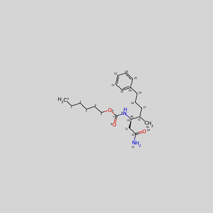 CCCCCCOC(=O)N[C@H](CC(N)=O)C(C)CCCc1ccccc1